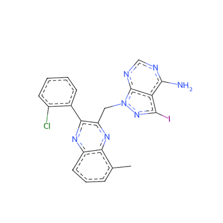 Cc1cccc2nc(-c3ccccc3Cl)c(Cn3nc(I)c4c(N)ncnc43)nc12